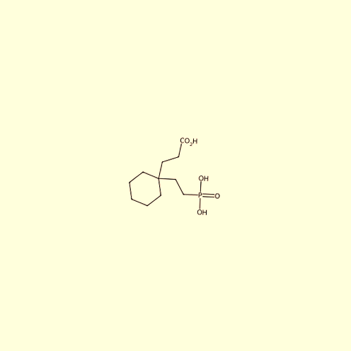 O=C(O)CCC1(CCP(=O)(O)O)CCCCC1